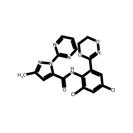 Cc1cc(C(=O)Nc2c(Cl)cc(Cl)cc2C2=NOCCO2)n(-c2ncccn2)n1